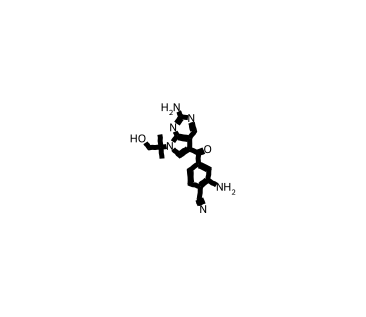 CC(C)(CO)n1cc(C(=O)c2ccc(C#N)c(N)c2)c2cnc(N)nc21